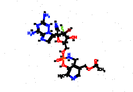 CC(=O)OCc1cnc(C)c2c1CNP(=O)(OC[C@H]1O[C@@](C#N)(c3cnc4c(N)nc(N)nn34)[C@@](F)(Br)C1O)O2